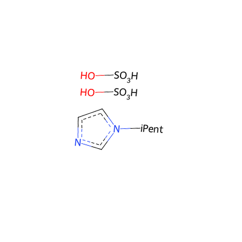 CCCC(C)n1ccnc1.O=S(=O)(O)O.O=S(=O)(O)O